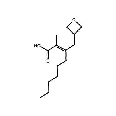 CCCCCCC(CC1COC1)=C(C)C(=O)O